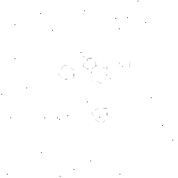 O=C(COc1ccccc1)N1CCNC[C@@H]1c1nc(-c2ccc(F)cc2)no1